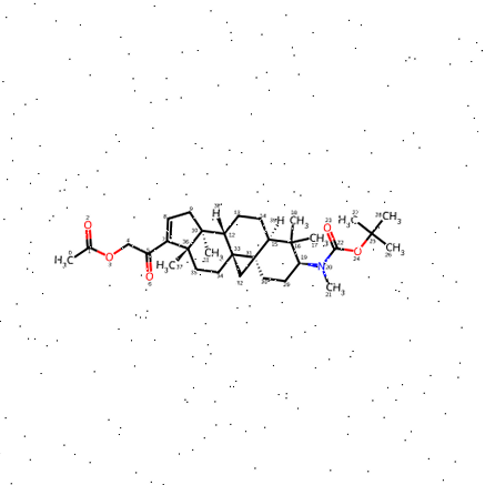 CC(=O)OCC(=O)C1=CC[C@@]2(C)[C@@H]3CC[C@H]4C(C)(C)[C@@H](N(C)C(=O)OC(C)(C)C)CC[C@@]45C[C@@]35CC[C@]12C